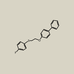 Fc1ccc(SCCOc2ccc(-c3ccccc3)cc2)cc1